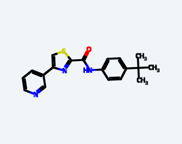 CC(C)(C)c1ccc(NC(=O)c2nc(-c3cccnc3)cs2)cc1